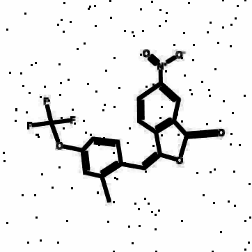 Cc1cc(OC(F)(F)F)ccc1/C=C1/OC(=O)c2cc([N+](=O)[O-])ccc21